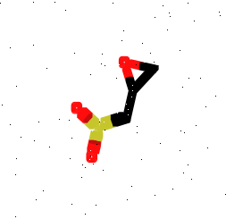 O=S(=O)=CC1CO1